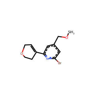 [SiH3]OCc1cc(Br)nc(C2=CCOCC2)c1